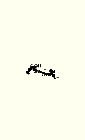 Cc1ncsc1-c1ccc(CNC(=O)[C@@H]2C[C@@H](O)CN2C(=O)C(NC(=O)CCCCCCCC(=O)NCCOc2ccc(C(=C(CCCl)c3ccccc3)c3ccc(O)cc3)cc2)C(C)(C)C)cc1